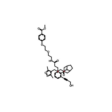 COC(=O)c1ccc(OCCOCCNC(=O)CCc2cccc(C#CCO)c2C2CC3CCC(C2)N3C(=O)CSCc2c(C)noc2C)cc1